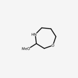 COC1COCCCN1